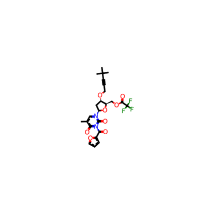 Cc1cn([C@H]2C[C@H](OCC#CC(C)(C)C)[C@@H](COC(=O)C(F)(F)F)O2)c(=O)n(C(=O)c2ccco2)c1=O